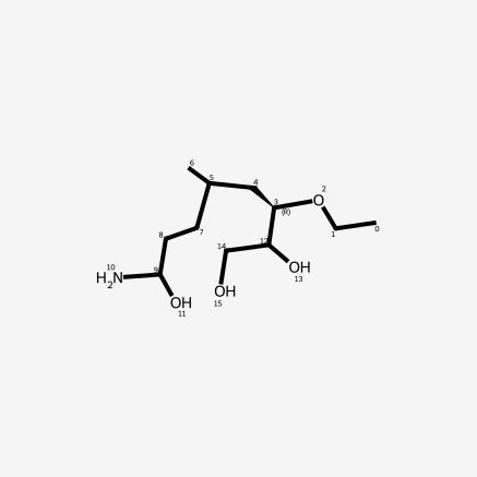 CCO[C@H](CC(C)CCC(N)O)C(O)CO